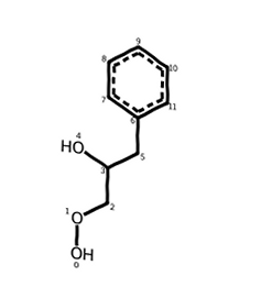 OOCC(O)Cc1ccccc1